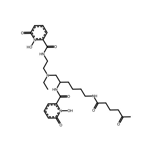 CCN(CCNC(=O)c1cccc(=O)n1O)CC(CCCCNC(=O)CCCC(C)=O)NC(=O)c1cccc(=O)n1O